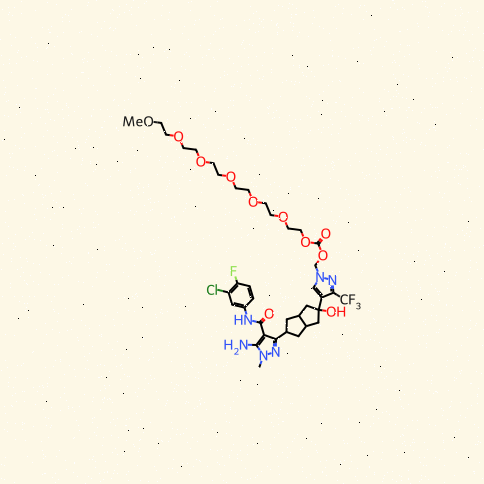 COCCOCCOCCOCCOCCOCCOC(=O)OCn1cc(C2(O)CC3CC(c4nn(C)c(N)c4C(=O)Nc4ccc(F)c(Cl)c4)CC3C2)c(C(F)(F)F)n1